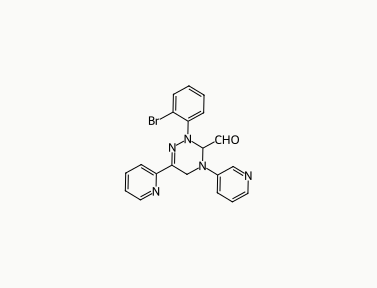 O=CC1N(c2cccnc2)CC(c2ccccn2)=NN1c1ccccc1Br